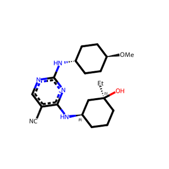 CC[C@]1(O)CCC[C@@H](Nc2nc(N[C@H]3CC[C@H](OC)CC3)ncc2C#N)C1